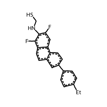 CCc1ccc(-c2ccc3c(ccc4c(F)c(NCS)c(F)cc43)c2)cc1